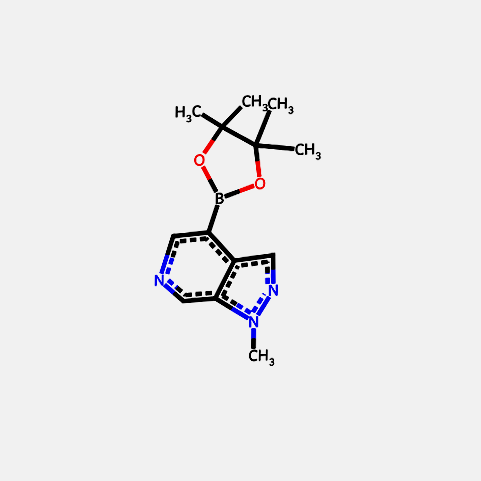 Cn1ncc2c(B3OC(C)(C)C(C)(C)O3)cncc21